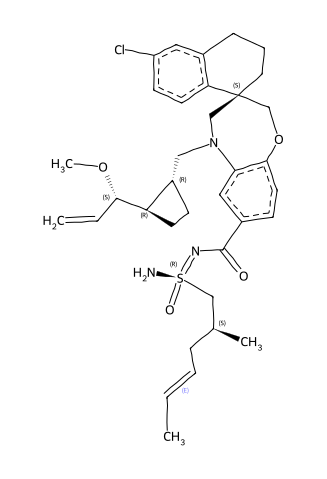 C=C[C@H](OC)[C@@H]1CC[C@H]1CN1C[C@@]2(CCCc3cc(Cl)ccc32)COc2ccc(C(=O)N=[S@@](N)(=O)C[C@@H](C)C/C=C/C)cc21